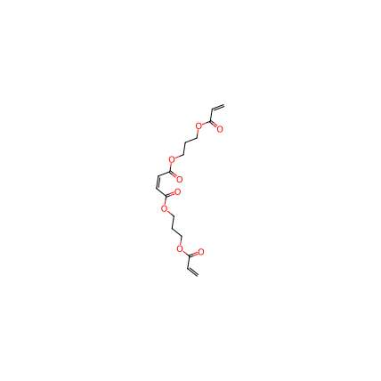 C=CC(=O)OCCCOC(=O)/C=C\C(=O)OCCCOC(=O)C=C